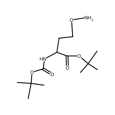 CC(C)(C)OC(=O)NC(CCON)C(=O)OC(C)(C)C